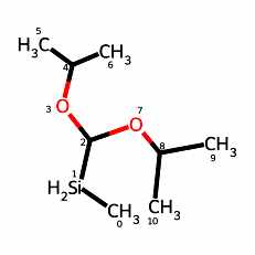 C[SiH2]C(OC(C)C)OC(C)C